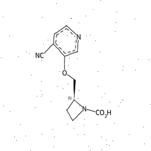 N#Cc1ccncc1OC[C@@H]1CCN1C(=O)O